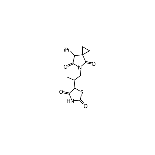 CC(C)C1C(=O)N(CC(C)C2SC(=O)NC2=O)C(=O)C12CC2